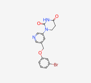 O=C1CCN(c2cncc(COc3cccc(Br)c3)c2)C(=O)N1